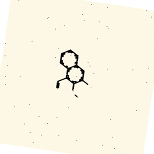 COc1c(S)cc2ccccc2c1C=O